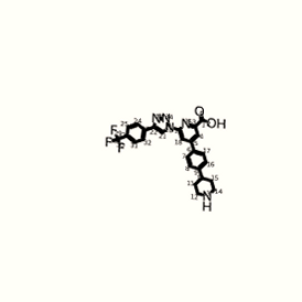 O=C(O)c1cc(-c2ccc(C3CCNCC3)cc2)cc(-n2cc(-c3ccc(C(F)(F)F)cc3)nn2)n1